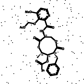 COc1ccnc(C(=O)N[C@H]2COC(=O)[C@H](Cc3ccccc3)[C@@H](OC(=O)C(C)C)[C@H](C)OC2=O)c1OCOC(C)=O